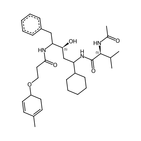 CC(=O)N[C@H](C(=O)NC(C[C@H](O)C(Cc1ccccc1)NC(=O)CCOC1C=CC(C)=CC1)C1CCCCC1)C(C)C